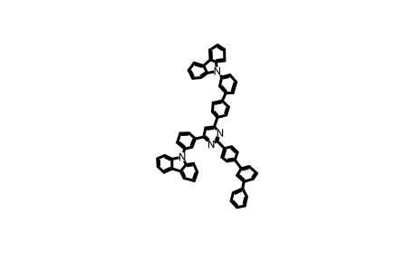 c1ccc(-c2cccc(-c3ccc(-c4nc(-c5ccc(-c6cccc(-n7c8ccccc8c8ccccc87)c6)cc5)cc(-c5cccc(-n6c7ccccc7c7ccccc76)c5)n4)cc3)c2)cc1